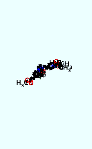 COC(=O)CCc1ccc(N2CCN(CCC3CCN(C(=O)OC(C)(C)C)CC3)C2=O)c(C(F)(F)F)c1